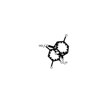 O=C(O)c1c(Cl)cc(C(=O)O)c2c3c(Cl)cc(c(=O)oc3=O)c12